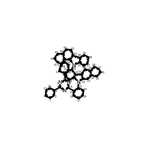 c1ccc(-c2nc(-c3ccccc3)nc(-c3ccccc3-n3c4cc5ccccc5cc4c4c(-n5c6ccccc6c6ccc7ccccc7c65)cccc43)n2)cc1